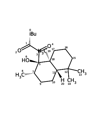 CC[C@@H](C)C(=O)C(=O)[C@@]1(O)[C@@H](C)CC[C@H]2C(C)(C)CCC[C@@]21C